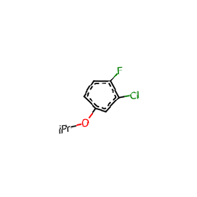 CC(C)Oc1ccc(F)c(Cl)c1